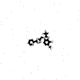 [C-]#[N+]c1ccc2c(nc(C(F)(F)F)n2Cc2nnc(-c3ccccn3)o2)c1Cl